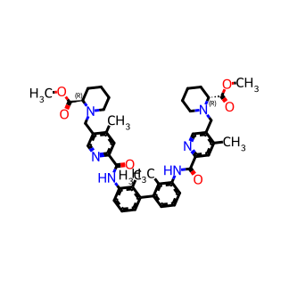 COC(=O)[C@H]1CCCCN1Cc1cnc(C(=O)Nc2cccc(-c3cccc(NC(=O)c4cc(C)c(CN5CCCC[C@@H]5C(=O)OC)cn4)c3C)c2C)cc1C